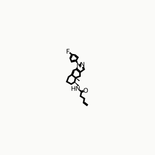 C=CCCC(=O)NC[C@H]1CCCC2=Cc3c(cnn3-c3ccc(F)cc3)C[C@@]21C